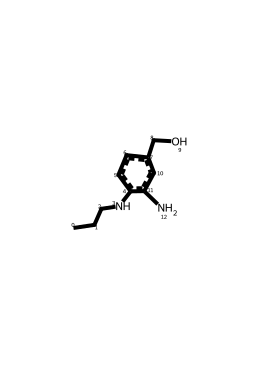 CCCNc1ccc(CO)cc1N